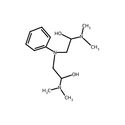 CN(C)C(O)CN(CC(O)N(C)C)c1ccccc1